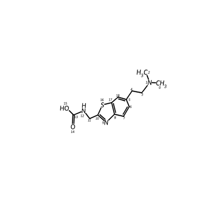 CN(C)CCc1ccc2nc(CNC(=O)O)sc2c1